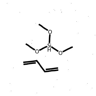 C=CC=C.CO[SiH](OC)OC